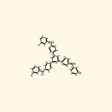 Cc1cccc(Nc2ccc(-c3cc(-c4ccc(Nc5cccc(C)c5)cc4)cc(-c4ccc(Nc5cccc(C)c5)cc4)c3)cc2)c1